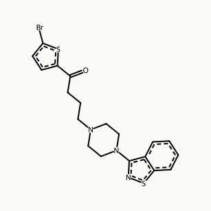 O=C(CCCN1CCN(c2nsc3ccccc23)CC1)c1ccc(Br)s1